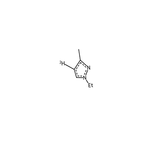 [2H]c1cn(CC)nc1C